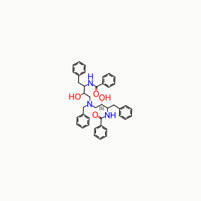 O=C(NC(Cc1ccccc1)C(O)CN(Cc1ccccc1)C[C@H](O)C(Cc1ccccc1)NC(=O)c1ccccc1)c1ccccc1